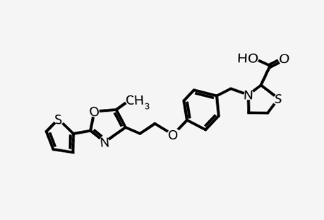 Cc1oc(-c2cccs2)nc1CCOc1ccc(CN2CCSC2C(=O)O)cc1